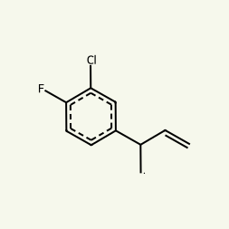 [CH2]C(C=C)c1ccc(F)c(Cl)c1